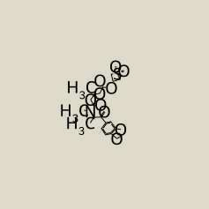 CC(OC(=O)OC1CS(=O)(=O)C1)OC(=O)N(C)C(C)C(=O)c1ccc2c(c1)OCO2